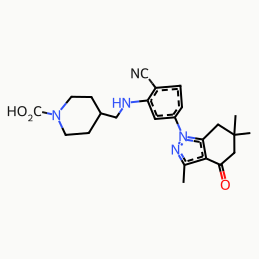 Cc1nn(-c2ccc(C#N)c(NCC3CCN(C(=O)O)CC3)c2)c2c1C(=O)CC(C)(C)C2